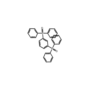 O=P(c1ccccc1)(c1ccccc1)c1cccc(P(=O)(c2ccccc2)c2ccccc2)c1